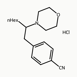 CCCCCCC(Cc1ccc(C#N)cc1)N1CCOCC1.Cl